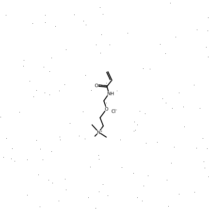 C=CC(=O)NCOCC[N+](C)(C)C.[Cl-]